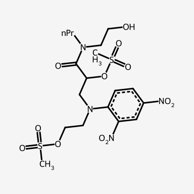 CCCN(CCO)C(=O)C(CN(CCOS(C)(=O)=O)c1ccc([N+](=O)[O-])cc1[N+](=O)[O-])OS(C)(=O)=O